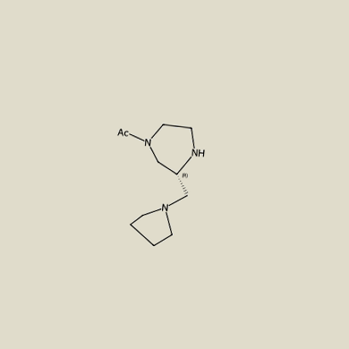 CC(=O)N1CCN[C@H](CN2CCCC2)C1